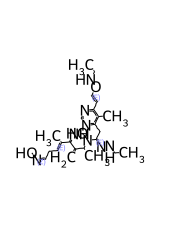 C=C(C(=N)/C(C)=C/C/C=N\O)C(C)N(O)/C(Cc1ncnc(/C=C/ONCC)c1C)=N/NCC